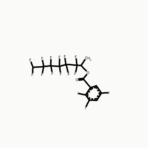 CC(OC(=O)c1cc(I)cc(I)c1I)C(F)(F)C(F)(F)C(F)(F)C(F)(F)C(F)(F)C(F)F